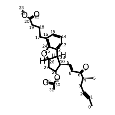 CC#CC[C@H](C)C(=O)/C=C/[C@@H]1[C@H]2c3cccc(CCCC(=O)OC)c3O[C@H]2C[C@H]1OC(C)=O